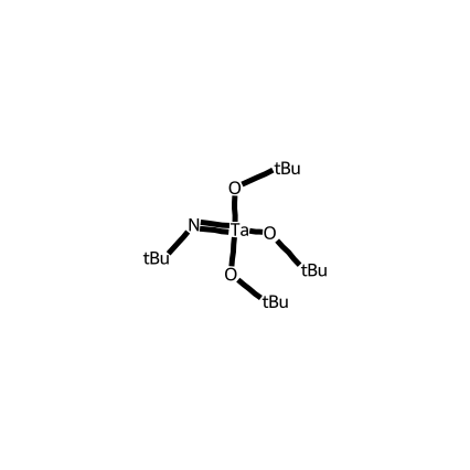 CC(C)(C)[N]=[Ta]([O]C(C)(C)C)([O]C(C)(C)C)[O]C(C)(C)C